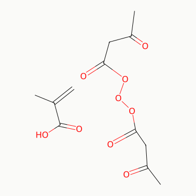 C=C(C)C(=O)O.CC(=O)CC(=O)OOOC(=O)CC(C)=O